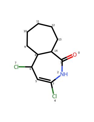 O=C1NC(Cl)=CC(Cl)C2CCCCCC12